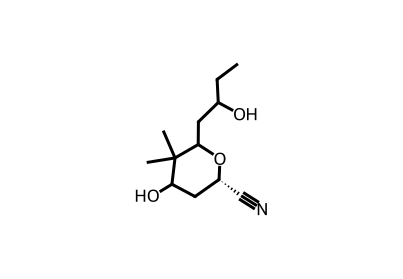 CCC(O)CC1O[C@H](C#N)CC(O)C1(C)C